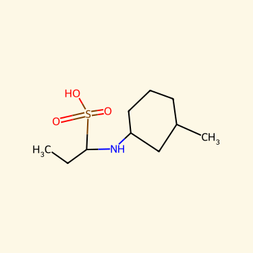 CCC(NC1CCCC(C)C1)S(=O)(=O)O